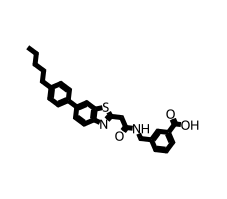 CCCCCc1ccc(-c2ccc3nc(CC(=O)NCc4cccc(C(=O)O)c4)sc3c2)cc1